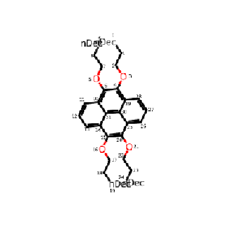 CCCCCCCCCCCCOc1c(OCCCCCCCCCCCC)c2cccc3c(OCCCCCCCCCCCC)c(OCCCCCCCCCCCC)c4cccc1c4c23